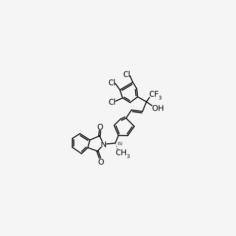 C[C@@H](c1ccc(C=CC(O)(c2cc(Cl)c(Cl)c(Cl)c2)C(F)(F)F)cc1)N1C(=O)c2ccccc2C1=O